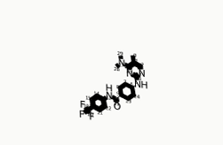 Cc1cnc(N[C@H]2CC[C@@H](C(=O)Nc3ccc(C(F)(F)F)cc3)CC2)nc1N(C)C